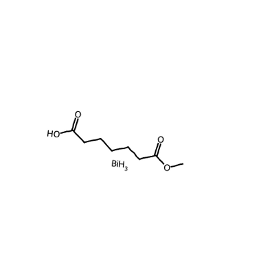 COC(=O)CCCCCC(=O)O.[BiH3]